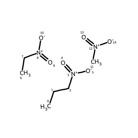 CCC[N+](=O)[O-].CC[N+](=O)[O-].C[N+](=O)[O-]